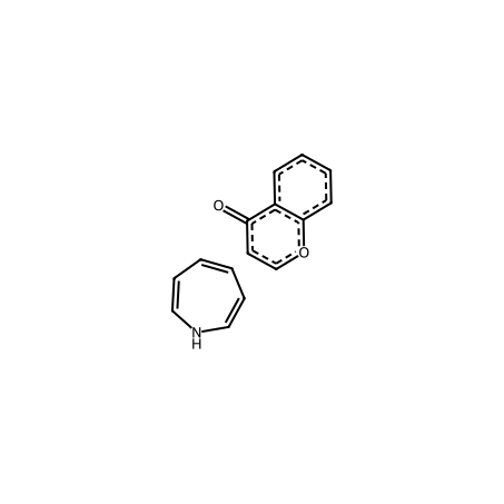 C1=CC=CNC=C1.O=c1ccoc2ccccc12